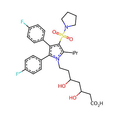 CC(C)c1c(S(=O)(=O)N2CCCC2)c(-c2ccc(F)cc2)c(-c2ccc(F)cc2)n1CCC(O)CC(O)CC(=O)O